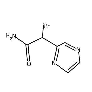 CC(C)C(C(N)=O)c1cnccn1